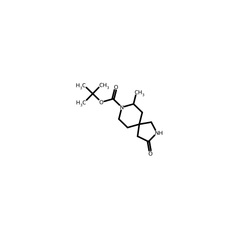 CC1CC2(CCN1C(=O)OC(C)(C)C)CNC(=O)C2